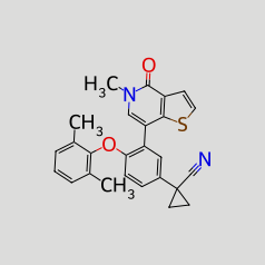 Cc1cccc(C)c1Oc1ccc(C2(C#N)CC2)cc1-c1cn(C)c(=O)c2ccsc12